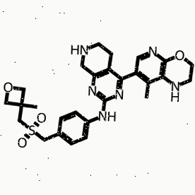 Cc1c(-c2nc(Nc3ccc(CS(=O)(=O)CC4(C)COC4)cc3)nc3c2CCNC3)cnc2c1NCCO2